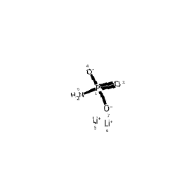 NP(=O)([O-])[O-].[Li+].[Li+]